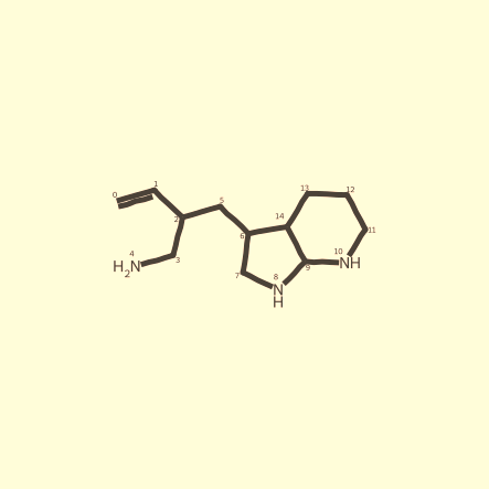 C=CC(CN)CC1CNC2NCCCC12